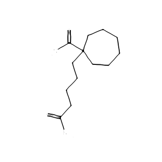 NC(=O)CCCCC1(C(N)=O)CCCCCC1